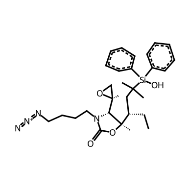 CC[C@@H](CC(C)(C)[Si](O)(c1ccccc1)c1ccccc1)[C@@]1(C)OC(=O)N(CCCCN=[N+]=[N-])[C@@H]1[C@]1(C)CO1